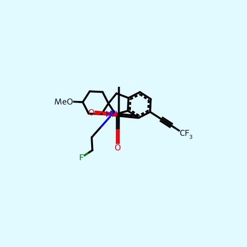 COC1CCC2(CC1)Cc1ccc(C#CC(F)(F)F)cc1C21NC(=O)N(CCF)C1=O